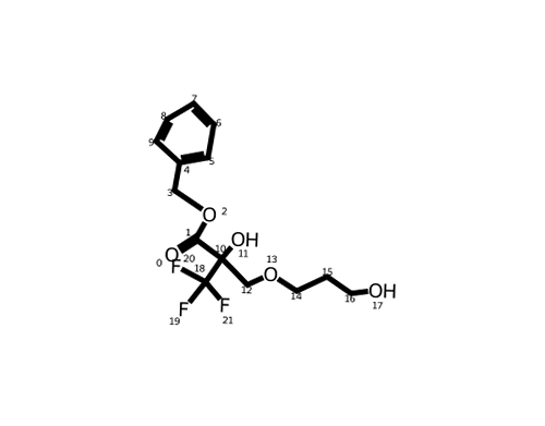 O=C(OCc1ccccc1)C(O)(COCCCO)C(F)(F)F